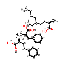 C=C(CCC(CC)CCCC)C(=O)O.C=C(CCc1ccccc1)C(=O)O.CC(=Cc1ccccc1)C(=O)O